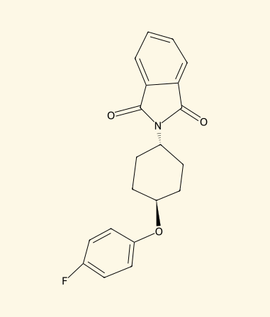 O=C1c2ccccc2C(=O)N1[C@H]1CC[C@H](Oc2ccc(F)cc2)CC1